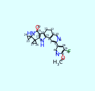 COc1ncc(-c2cc3c(cn2)CCc2c-3[nH]c3c2C(=O)NC2(CC2)C32CC2)cc1F